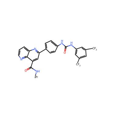 CC(C)NC(=O)c1cc(-c2ccc(NC(=O)Nc3cc(C(F)(F)F)cc(C(F)(F)F)c3)cc2)nc2cccnc12